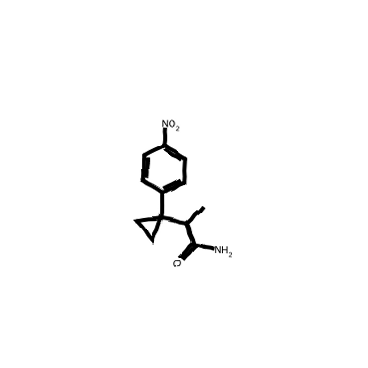 CC(C(N)=O)C1(c2ccc([N+](=O)[O-])cc2)CC1